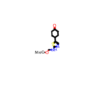 COOCNc1ncc(C2CCC(=O)CC2)s1